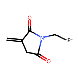 C=C1CC(=O)N(CC(C)C)C1=O